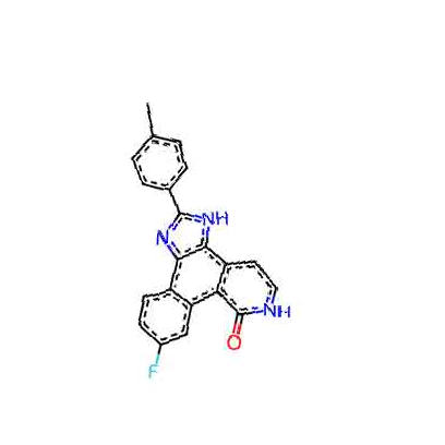 Cc1ccc(-c2nc3c4ccc(F)cc4c4c(=O)[nH]ccc4c3[nH]2)cc1